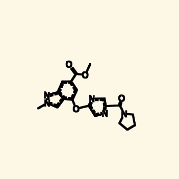 COC(=O)c1cc(Oc2cnc(C(=O)N3CCCC3)cn2)c2cn(C)nc2c1